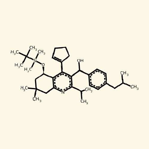 CC(C)Cc1ccc(C(O)c2c(C(C)C)nc3c(c2C2=CCCC2)[C@H](O[Si](C)(C)C(C)(C)C)CC(C)(C)C3)cc1